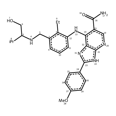 CCc1c(CNC(CO)C(C)C)cccc1Nc1c(C(N)=O)cnc2[nH]c(-c3ccc(OC)cc3)nc12